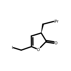 CC(C)C[C@@H]1C=C(CI)OC1=O